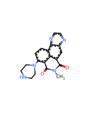 CN1C(=O)c2cc3nccnc3c3ccc(N4CCNCC4)c(c23)C1=O